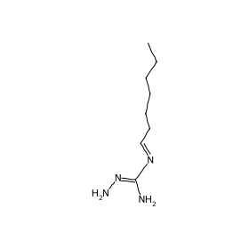 CCCCCCC=NC(N)=NN